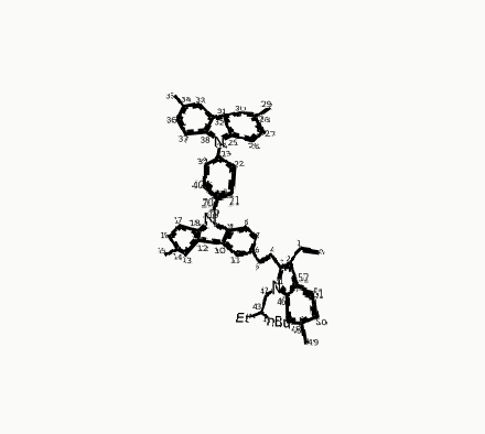 C=Cc1c(/C=C/c2ccc3c(c2)c2cc(C)ccc2n3-c2ccc(-n3c4ccc(C)cc4c4cc(C)ccc43)cc2)n(CC(CC)CCCC)c2cc(C)ccc12